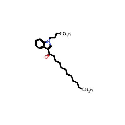 O=C(O)CCCCCCCCCCC(=O)c1cn(CCCC(=O)O)c2ccccc12